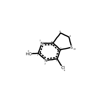 Oc1nc(Cl)c2c(n1)CCS2